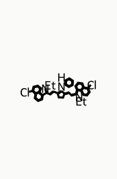 CCN1c2ccc(Cl)c3cccc(c23)C1/C=C/C1=C(Nc2ccccc2)C(=C/C=c2\c3cccc4c(Cl)ccc(c43)n2CC)/CC1